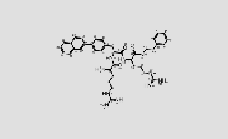 N=C(N)NCCCC(N)C(=O)NC(Cc1ccc(-c2ccc3ccccc3c2)cc1)C(=O)NC(CCCNC(=N)N)C(=O)NCCc1ccccc1